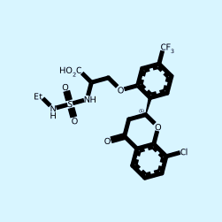 CCNS(=O)(=O)NC(COc1cc(C(F)(F)F)ccc1[C@@H]1CC(=O)c2cccc(Cl)c2O1)C(=O)O